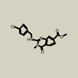 COC(=O)c1ccc2c(=O)n(C)c(NCc3ccc(Cl)cc3)nc2c1